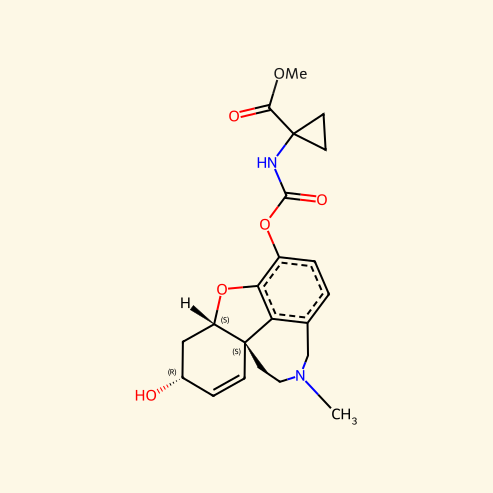 COC(=O)C1(NC(=O)Oc2ccc3c4c2O[C@H]2C[C@@H](O)C=C[C@@]42CCN(C)C3)CC1